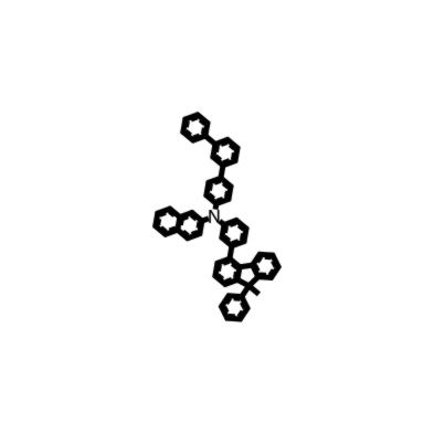 CC1(c2ccccc2)c2ccccc2-c2c(-c3cccc(N(c4ccc(-c5cccc(-c6ccccc6)c5)cc4)c4ccc5ccccc5c4)c3)cccc21